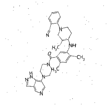 Cc1cc(C)c(C(=O)N2CCN(c3cncc4cn[nH]c34)CC2)cc1NC1CCN(c2ccccc2C#N)CC1C